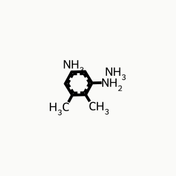 Cc1cccc(N)c1C.N.N